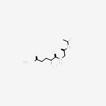 COC(=O)CC[C@H](N)C(=O)N[C@@H](C)C(=O)N[C@@H](C)C(=O)O